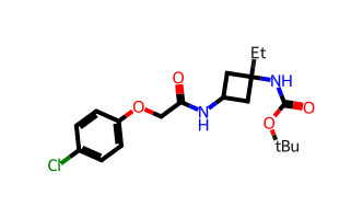 CCC1(NC(=O)OC(C)(C)C)CC(NC(=O)COc2ccc(Cl)cc2)C1